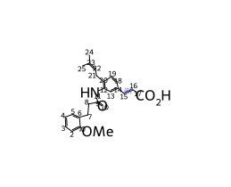 COc1ccccc1CCC(=O)Nc1cc(/C=C/C(=O)O)ccc1CC=C(C)C